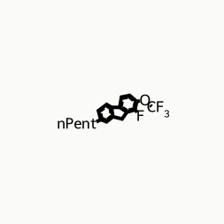 CCCCCc1ccc2c(c1)Cc1c-2ccc(OC(F)(F)F)c1F